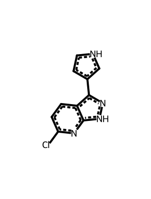 Clc1ccc2c(-c3cc[nH]c3)n[nH]c2n1